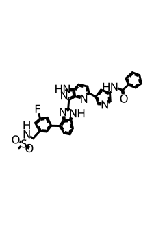 CS(=O)(=O)NCc1cc(F)cc(-c2cccc3[nH]c(-c4n[nH]c5ccc(-c6cncc(NC(=O)c7ccccc7)c6)nc45)nc23)c1